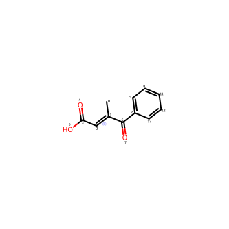 C/C(=C\C(=O)O)C(=O)c1ccccc1